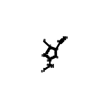 Cc1nn(PI)cc1C#N